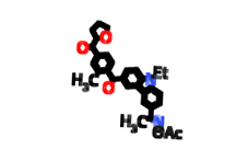 CCn1c2ccc(C(=O)c3ccc(C(=O)C4CCCO4)cc3C)cc2c2cc(/C(C)=N/OC(C)=O)ccc21